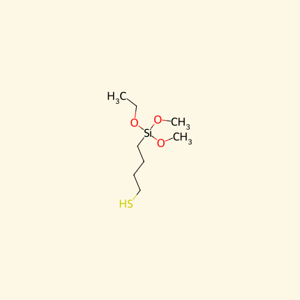 CCO[Si](CCCCS)(OC)OC